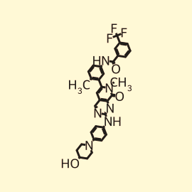 Cc1ccc(NC(=O)c2cccc(C(F)(F)F)c2)cc1-c1cc2cnc(Nc3ccc(N4CCC(O)CC4)cc3)nc2c(=O)n1C